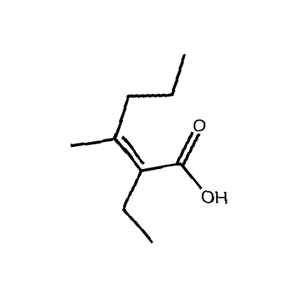 CCCC(C)=C(CC)C(=O)O